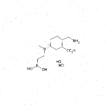 CN(CCB(O)O)[C@@H]1CCC(CN)C(C(=O)O)C1.Cl.Cl